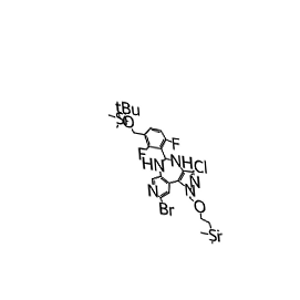 CC(C)(C)[Si](C)(C)OCc1ccc(F)c(C2Nc3cnc(Br)cc3-c3c(c(Cl)nn3COCC[Si](C)(C)C)N2)c1F